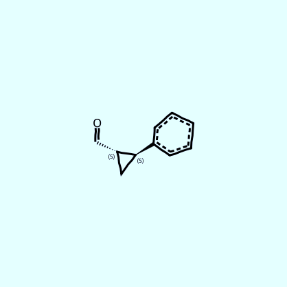 O=C[C@H]1C[C@@H]1c1ccccc1